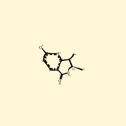 CC1c2nc(Cl)ccc2C(=O)O[C@@H]1C